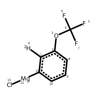 [2H]c1c(OC(F)(F)F)ccc[c]1[Mg][Cl]